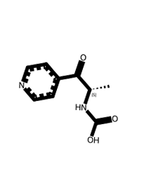 C[C@H](NC(=O)O)C(=O)c1ccncc1